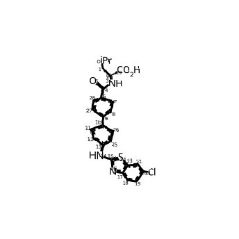 CC(C)C[C@H](NC(=O)c1ccc(-c2ccc(Nc3nc4ccc(Cl)cc4s3)cc2)cc1)C(=O)O